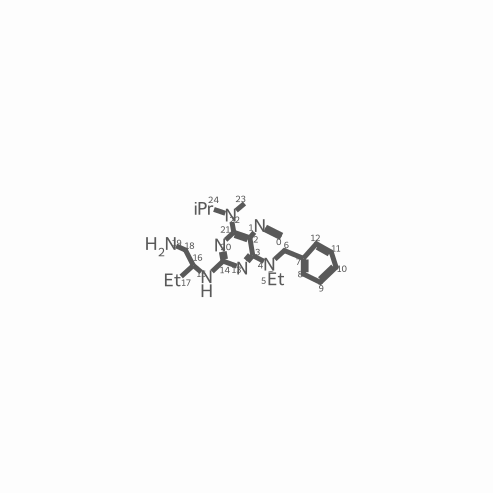 C=Nc1c(N(CC)Cc2ccccc2)nc(NC(CC)CN)nc1N(C)C(C)C